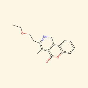 CCOCCc1ncc2c(c1C)c(=O)oc1ccccc12